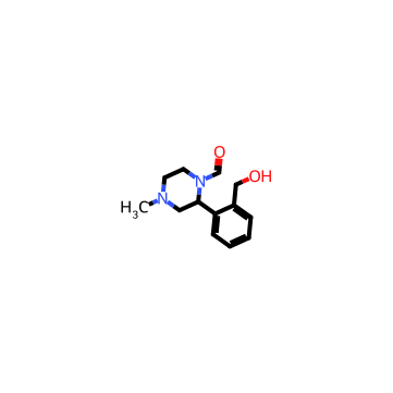 CN1CCN(C=O)C(c2ccccc2CO)C1